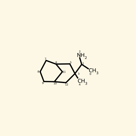 CC(N)C1(C)CC2CCCC(C2)C1